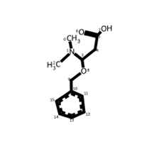 CN(C)C(CC(=O)O)OCc1ccccc1